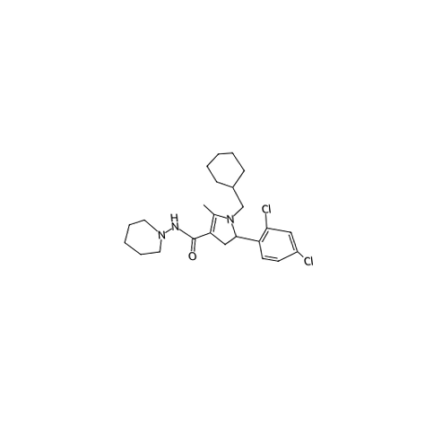 CC1=C(C(=O)NN2CCCCC2)CC(c2ccc(Cl)cc2Cl)N1CC1CCCCC1